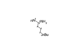 CCCCCCCC(N)CCC